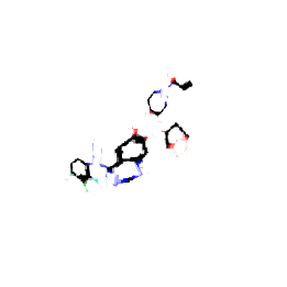 C=CC(=O)N1CCC(Oc2cc3c(Nc4ccc(F)c(Cl)c4F)ncnc3cc2O[C@H]2CCOC2)CC1